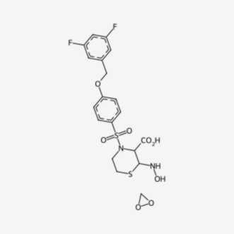 C1OO1.O=C(O)C1C(NO)SCCN1S(=O)(=O)c1ccc(OCc2cc(F)cc(F)c2)cc1